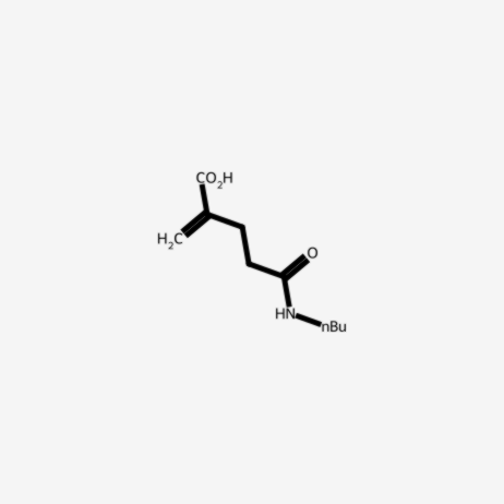 C=C(CCC(=O)NCCCC)C(=O)O